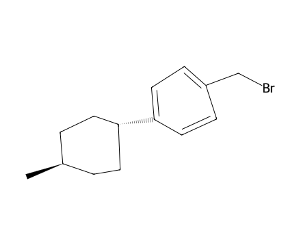 C[C@H]1CC[C@H](c2ccc(CBr)cc2)CC1